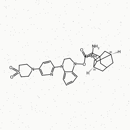 NC(=O)C12CC3C[C@H](C1)C(NC(=O)ON1CCN(c4ccc(N5CCS(=O)(=O)CC5)cn4)c4ccccc41)[C@@H](C3)C2